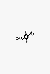 O=COCc1cc(F)c(C2CO2)cc1F